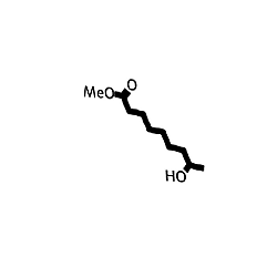 COC(=O)CCCCCCC(C)O